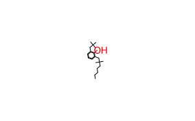 CCCCCC(C)(C)Cc1cccc(CC(C)(C)C)c1O